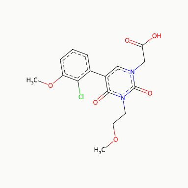 COCCn1c(=O)c(-c2cccc(OC)c2Cl)cn(CC(=O)O)c1=O